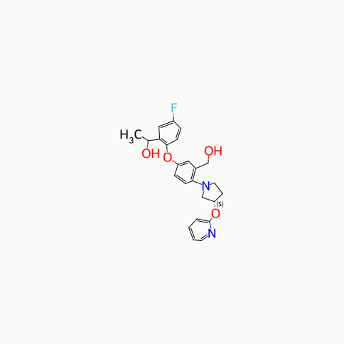 CC(O)c1cc(F)ccc1Oc1ccc(N2CC[C@H](Oc3ccccn3)C2)c(CO)c1